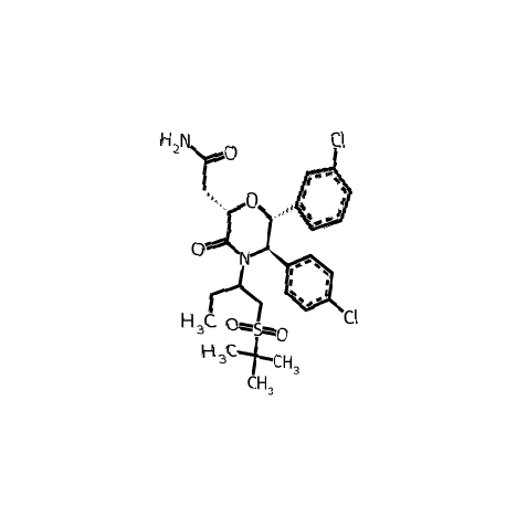 CCC(CS(=O)(=O)C(C)(C)C)N1C(=O)[C@H](CC(N)=O)O[C@H](c2cccc(Cl)c2)[C@H]1c1ccc(Cl)cc1